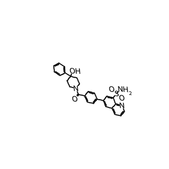 NS(=O)(=O)c1cc(-c2ccc(C(=O)N3CCC(O)(c4ccccc4)CC3)cc2)cc2cccnc12